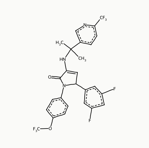 CC(C)(NC1=CC(c2cc(F)cc(F)c2)N(c2ccc(OC(F)(F)F)cc2)C1=O)c1ccc(C(F)(F)F)nc1